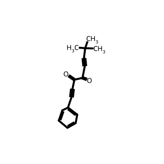 CC(C)(C)C#CC(=O)C(=O)C#Cc1ccccc1